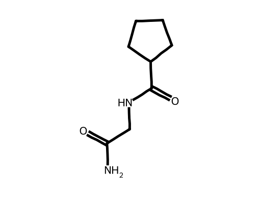 NC(=O)CNC(=O)C1CCCC1